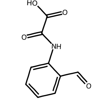 O=Cc1ccccc1NC(=O)C(=O)O